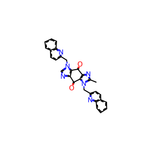 Cc1nc2c(n1Cc1ccc3ccccc3n1)C(=O)c1ncn(Cc3ccc4ccccc4n3)c1C2=O